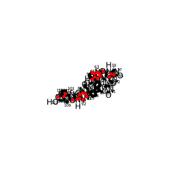 CC(C)C[C@H](NC(=O)[C@H](C)N(C)C(=O)OCC1c2ccccc2-c2ccccc21)C(=O)N(C)CC(=O)N(C)[C@@H](C)C(=O)N[C@@H](CC(C)C)C(=O)N(C)[C@@H](Cc1ccccc1)C(=O)N(C)[C@@H](C)C(=O)NCC(=O)N[C@@H](CC(C)C)C(=O)N(C)[C@@H](CC(C)C)C(=O)N(C)[C@@H](C)C(=O)N[C@@H](C)C(=O)N(C)[C@H](C(=O)N(C)[C@@H](CC(=O)O)C(=O)N(C)C)C1CCCC1